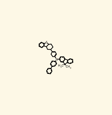 CC1(C)c2ccccc2-c2ccc(N(C3=CC=C(C4CCC5Sc6ccccc6C5C4)CC3)c3ccc(-c4ccccc4)cc3)cc21